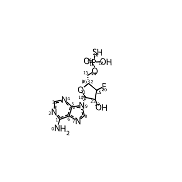 Nc1ncnc2c1ncn2[C@@H]1O[C@H](COP(=O)(O)S)C(F)C1O